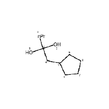 CCCC(O)(O)CC1CCCC1